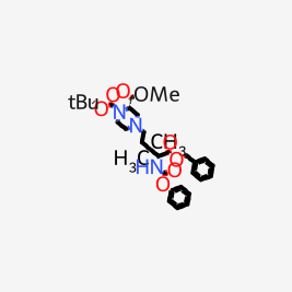 COC(=O)[C@@H]1CN(CCC(C)(C)[C@@H](NC(=O)Oc2ccccc2)C(=O)OCc2ccccc2)CCN1C(=O)OC(C)(C)C